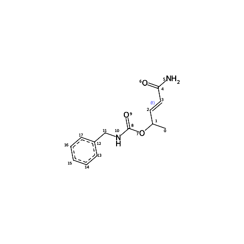 CC(/C=C/C(N)=O)OC(=O)NCc1ccccc1